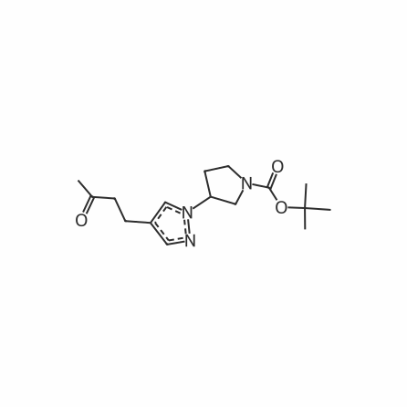 CC(=O)CCc1cnn(C2CCN(C(=O)OC(C)(C)C)C2)c1